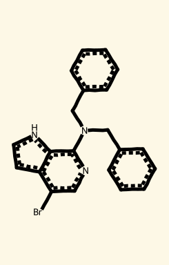 Brc1cnc(N(Cc2ccccc2)Cc2ccccc2)c2[nH]ccc12